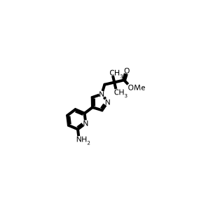 COC(=O)C(C)(C)Cn1cc(-c2cccc(N)n2)cn1